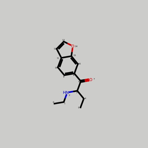 CCNC(CC)C(=O)c1ccc2ccoc2c1